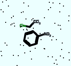 ClCC(Cl)(Cl)Cl.O=[N+]([O-])c1ccccc1